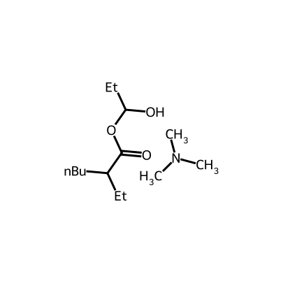 CCCCC(CC)C(=O)OC(O)CC.CN(C)C